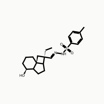 CC[C@@]1(/C=N/NS(=O)(=O)c2ccc(C)cc2)C[C@]23CCC[C@H](O)C2CCC13